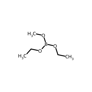 CCOB(OC)OCC